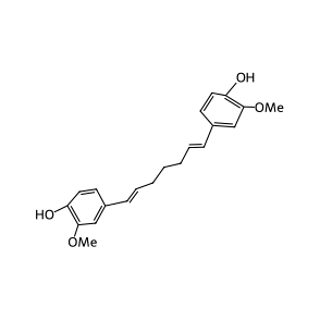 COc1cc(C=CCCCC=Cc2ccc(O)c(OC)c2)ccc1O